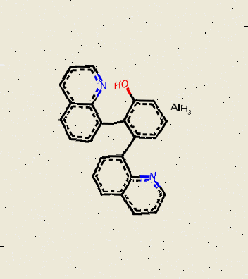 Oc1cccc(-c2cccc3cccnc23)c1-c1cccc2cccnc12.[AlH3]